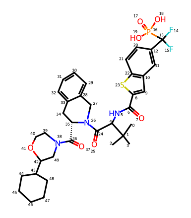 CC(C)(C)C(NC(=O)c1cc2cc(C(F)(F)P(=O)(O)O)ccc2s1)C(=O)N1Cc2ccccc2C[C@H]1C(=O)N1CCOC(C2CCCCC2)C1